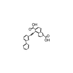 O=C(O)c1ccc2c(C#Cc3cccc(-c4ccccc4)c3)c(C(=O)O)ccc2c1